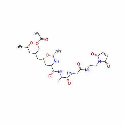 CCCC(=O)CC(COC(=O)CCC)CSCC(NC(=O)CCC)C(=O)NC(C)C(=O)NCC(=O)NCCN1C(=O)C=CC1=O